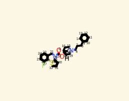 O=C(O[C@H]1C[N+]2(CCCc3ccccc3)CCC1CC2)N(Cc1cccc(F)c1)c1cccs1